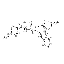 COc1ccc(CC(NC(=O)NC2(c3ccc(C(F)(F)F)cc3)CC2)c2nc3ccccc3[nH]2)cc1